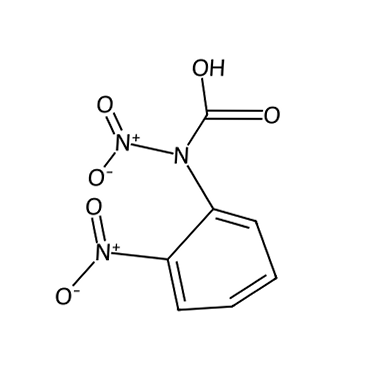 O=C(O)N(c1ccccc1[N+](=O)[O-])[N+](=O)[O-]